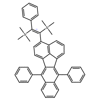 C[Si](C)(C)/C(=C(\c1ccc2c3c(cccc13)-c1c-2c(-c2ccccc2)c2ccccc2c1-c1ccccc1)[Si](C)(C)C)c1ccccc1